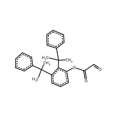 CC(C)(c1ccccc1)c1cccc(OC(=O)C=O)c1C(C)(C)c1ccccc1